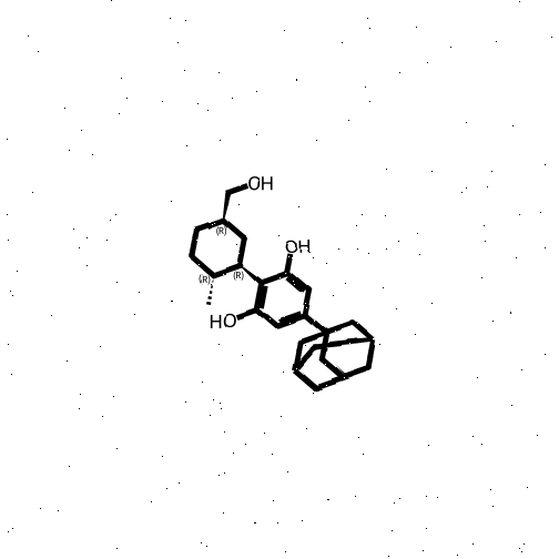 C[C@@H]1CC[C@@H](CO)C[C@H]1c1c(O)cc(C23CC4CC(CC(C4)C2)C3)cc1O